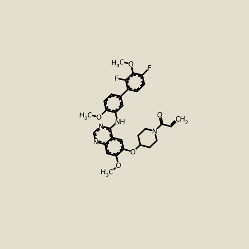 C=CC(=O)N1CCC(Oc2cc3c(Nc4cc(-c5ccc(F)c(OC)c5F)ccc4OC)ncnc3cc2OC)CC1